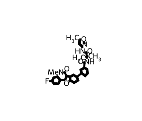 CNC(=O)c1c(-c2ccc(F)cc2)oc2ccc(-c3cccc(C(=O)NC(C)(C)C(=O)Nc4cc(C)on4)c3)cc12